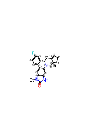 CCn1c(=O)[nH]c2cc(N3CCC4=CCC[C@@H]4C3)c(-c3ccc(F)cc3)cc21